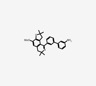 COc1cc2c(c3c1OC(C)(C)C3)C(c1cccc(-c3cccc(N)c3)c1)=NC(C)(C)C2